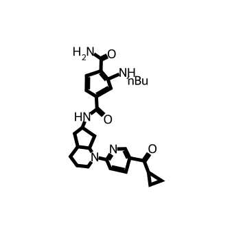 CCCCNc1cc(C(=O)NC2CC3CCCN(c4ccc(C(=O)C5CC5)cn4)C3C2)ccc1C(N)=O